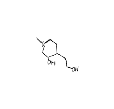 CN1CCC(CCO)C(O)C1